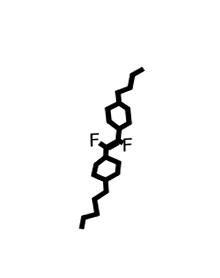 CCCCCC1CCC(C(F)=C(F)C2CCC(CCCC)CC2)CC1